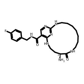 N[C@H]1CCNc2nc(ncc2C(=O)NCc2ccc(F)cc2)NCCCCCCCNC1=O